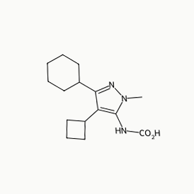 Cn1nc(C2CCCCC2)c(C2CCC2)c1NC(=O)O